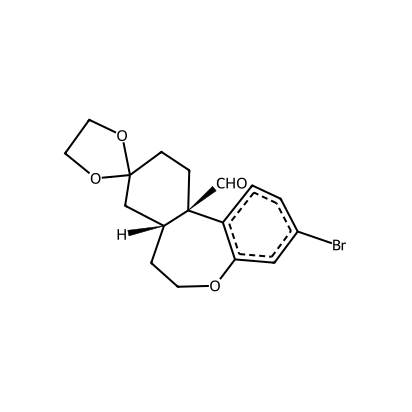 O=C[C@]12CCC3(C[C@H]1CCOc1cc(Br)ccc12)OCCO3